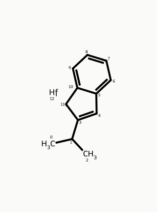 CC(C)C1=Cc2ccccc2[CH]1.[Hf]